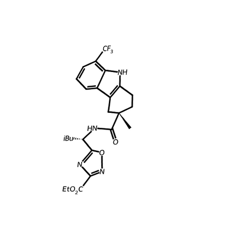 CCOC(=O)c1noc([C@@H](NC(=O)[C@@]2(C)CCc3[nH]c4c(C(F)(F)F)cccc4c3C2)C(C)CC)n1